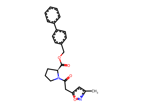 Cc1cc(CC(=O)N2CCC[C@H]2C(=O)OCc2ccc(-c3ccccc3)cc2)on1